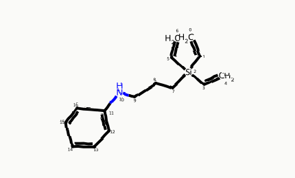 C=C[Si](C=C)(C=C)CCCNc1ccccc1